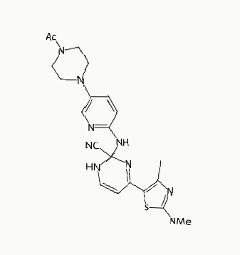 CNc1nc(C)c(C2=NC(C#N)(Nc3ccc(N4CCN(C(C)=O)CC4)cn3)NC=C2)s1